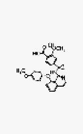 COc1ccc(Oc2cccc3ccnc(NC4(c5ccc(C(=O)O)c(C(C)C)c5)CC4)c23)cc1